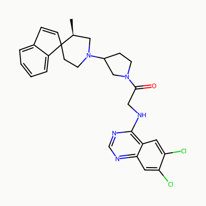 C[C@H]1CN(C2CCN(C(=O)CNc3ncnc4cc(Cl)c(Cl)cc34)C2)CCC12C=Cc1ccccc12